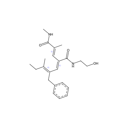 CC/C(C)=C(/C=C(\C=C(/C)C(=O)NC)C(=O)NCCO)Cc1ccccc1